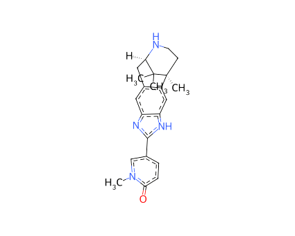 Cn1cc(-c2nc3cc4c(cc3[nH]2)[C@]2(C)CCN[C@H](C4)C2(C)C)ccc1=O